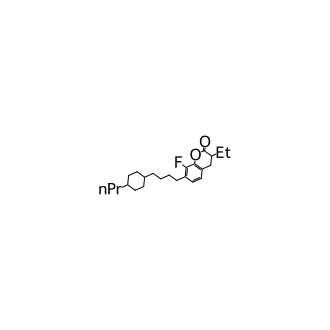 CCCC1CCC(CCCCc2ccc3c(c2F)OC(=O)C(CC)C3)CC1